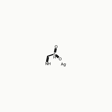 N=C[SH](=O)=O.[Ag]